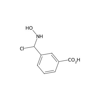 O=C(O)c1cccc(C(Cl)NO)c1